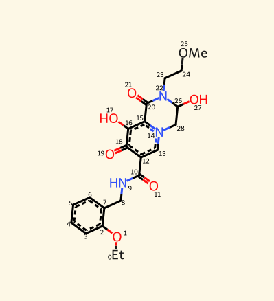 CCOc1ccccc1CNC(=O)c1cn2c(c(O)c1=O)C(=O)N(CCOC)C(O)C2